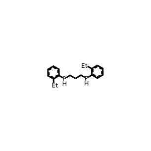 CCc1ccccc1PCCCPc1ccccc1CC